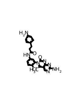 Cc1c2cnc(N)nc2nc(=O)n1-c1cc(NC(=O)CCc2ccc(N)cc2)ccc1Cl